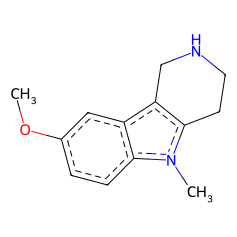 COc1ccc2c(c1)c1c(n2C)CCNC1